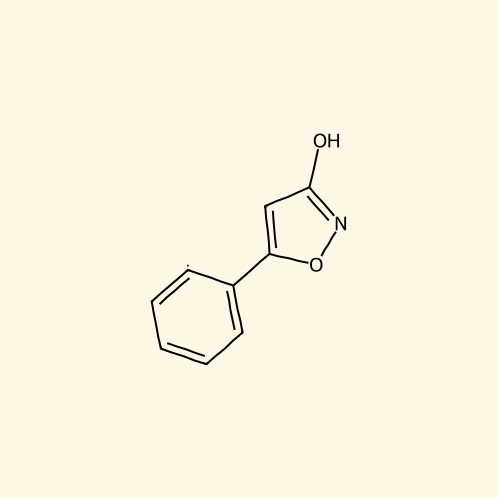 Oc1cc(-c2[c]cccc2)on1